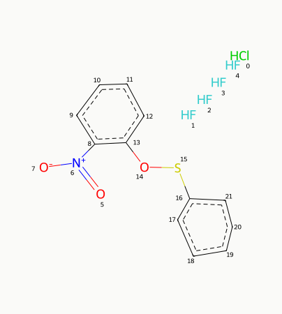 Cl.F.F.F.F.O=[N+]([O-])c1ccccc1OSc1ccccc1